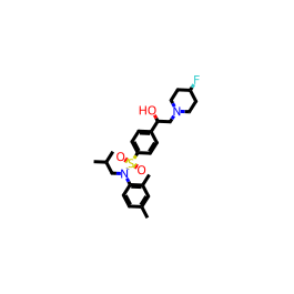 Cc1ccc(N(CC(C)C)S(=O)(=O)c2ccc(C(O)CN3CCC(F)CC3)cc2)c(C)c1